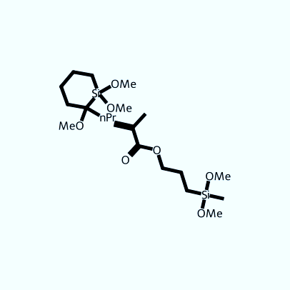 C=C(C)C(=O)OCCC[Si](C)(OC)OC.CCCC1(OC)CCCC[Si]1(OC)OC